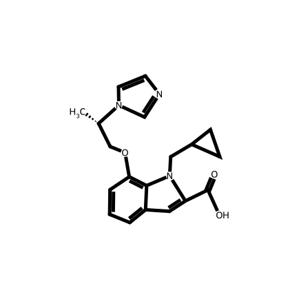 C[C@@H](COc1cccc2cc(C(=O)O)n(CC3CC3)c12)n1ccnc1